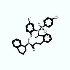 C[C@H](c1ccccc1CCC(=O)NC1CCCc2ccccc21)N(c1cc(F)ccc1F)S(=O)(=O)c1ccc(Cl)cc1